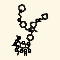 COC(=O)[C@H]1O[C@@H](Oc2ccc(-c3c(C)c4cc(OCc5ccccc5)ccc4n3Cc3ccc(OCCN4CCCCCC4)cc3)cc2)[C@@](O)(C(C)=O)[C@@H](OC(C)=O)[C@@H]1OC(C)=O